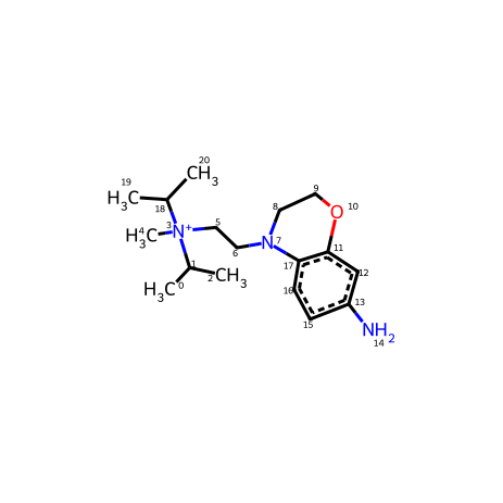 CC(C)[N+](C)(CCN1CCOc2cc(N)ccc21)C(C)C